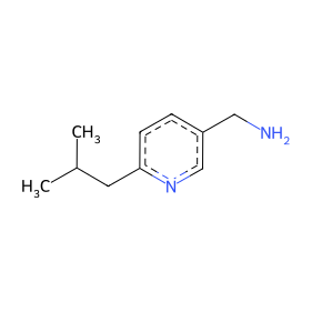 CC(C)Cc1ccc(CN)cn1